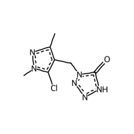 Cc1nn(C)c(Cl)c1Cn1nn[nH]c1=O